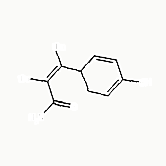 CC(C)(C)C(C(N)=O)=C(C1C=CC(O)=CC1)C(C)(C)C